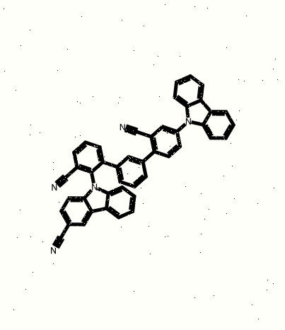 N#Cc1ccc2c(c1)c1ccccc1n2-c1c(C#N)cccc1-c1cccc(-c2ccc(-n3c4ccccc4c4ccccc43)cc2C#N)c1